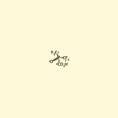 O=C(O)P(=O)(C(F)(F)F)C(F)(F)F